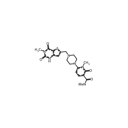 CNC(=O)c1ccc(N2CCN(Cc3cc4[nH]c(=O)n(C)c(=O)c4s3)CC2)n(C)c1=O